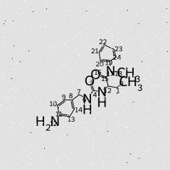 CCC(NC(=O)NCc1ccc(N)cc1)C(=O)N(C)c1ccccc1